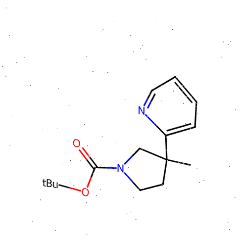 CC(C)(C)OC(=O)N1CCC(C)(c2ccccn2)C1